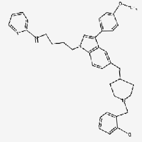 FC(F)(F)Oc1ccc(-c2cn(CCCCNc3ccccn3)c3ccc(CC4CCN(Cc5ccccc5Cl)CC4)cc23)cc1